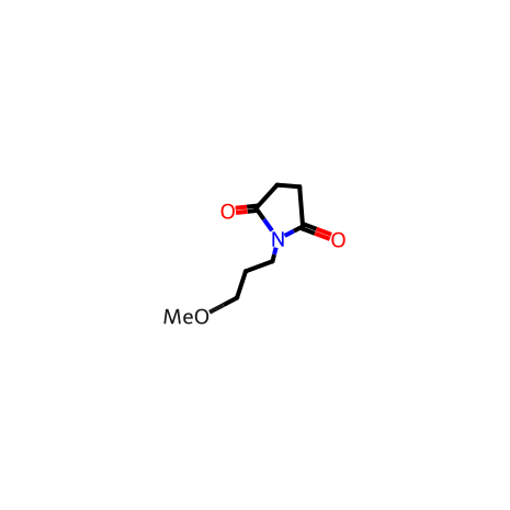 COCCCN1C(=O)CCC1=O